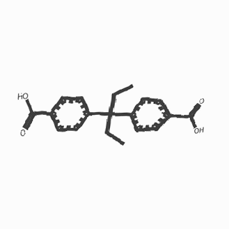 CCC(CC)(c1ccc(C(=O)O)cc1)c1ccc(C(=O)O)cc1